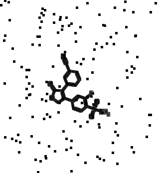 N#Cc1cccc(C2=C(c3ccc(S(N)(=O)=O)c(F)c3)COC2=O)c1